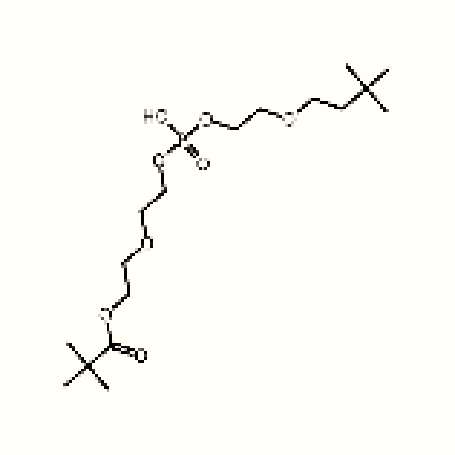 CC(C)(C)CCOCCOP(=O)(O)OCCOCCOC(=O)C(C)(C)C